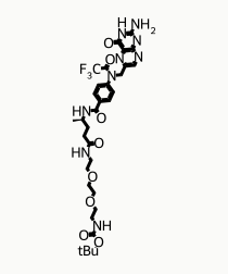 C[C@H](CCC(=O)NCCOCCOCCNC(=O)OC(C)(C)C)NC(=O)c1ccc(N(Cc2cnc3nc(N)[nH]c(=O)c3n2)C(=O)C(F)(F)F)cc1